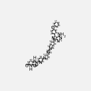 Nc1ncnc2c1c(-c1ccc(Oc3ccccc3)cc1)nn2C1CC2CN(C3CN(C4CCN(c5ccc(C(=O)NC6CCC(=O)NC6=O)nc5)C4)C3)CC2C1